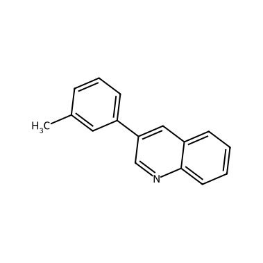 Cc1cccc(-c2cnc3ccccc3c2)c1